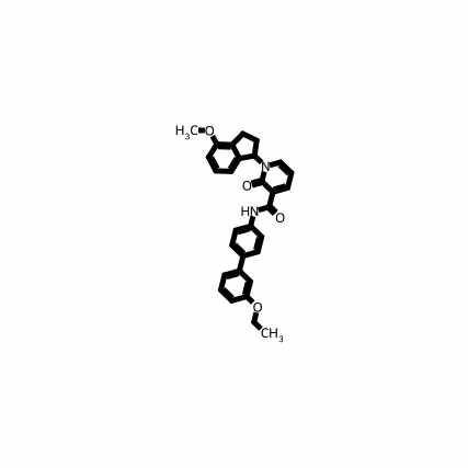 CCOc1cccc(-c2ccc(NC(=O)c3cccn(C4CCc5c(OC)cccc54)c3=O)cc2)c1